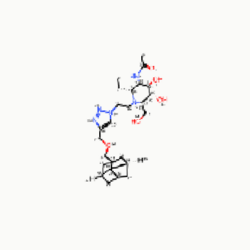 CC[C@@H]1[C@H](NC(C)=O)[C@@H](O)[C@H](O)[C@@H](CO)N1CCn1cc(COCC23CC4C[C@H](C2)C[C@H](C4)C3)nn1